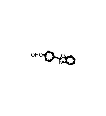 O=Cc1ccc(-c2nc3ccccc3o2)cc1